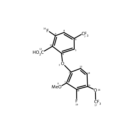 COc1c(Oc2cc(C(F)(F)F)cc(F)c2C(=O)O)ccc(OC(F)(F)F)c1F